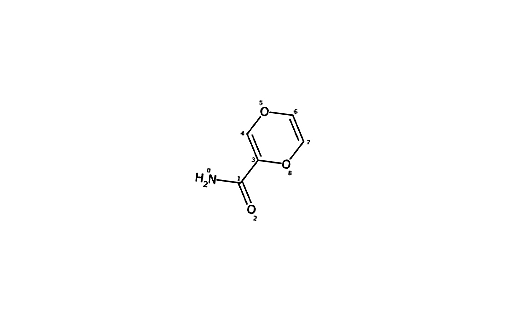 NC(=O)C1=COC=CO1